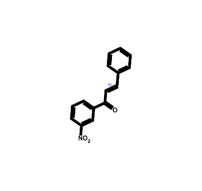 O=C(/C=C/c1ccccc1)c1cccc([N+](=O)[O-])c1